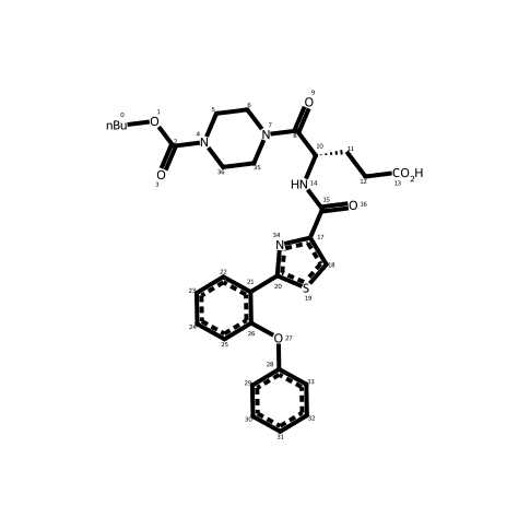 CCCCOC(=O)N1CCN(C(=O)[C@H](CCC(=O)O)NC(=O)c2csc(-c3ccccc3Oc3ccccc3)n2)CC1